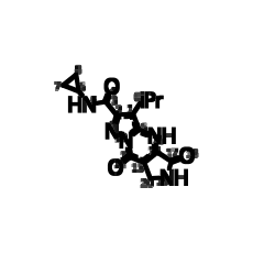 CC(C)c1c(C(=O)NC2CC2)nn2c(=O)c3c([nH]c12)C(=O)NC3